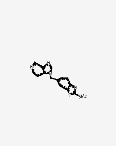 CSc1nc2ccc(Cn3cnc4cnccc43)cc2s1